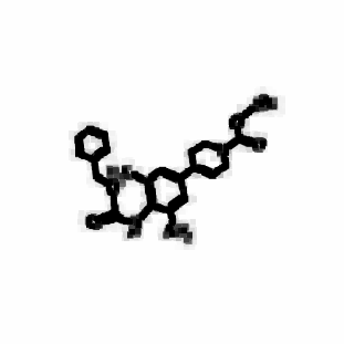 Cc1cc(C2=CCN(C(=O)OC(C)(C)C)CC2)cc(N)c1NC(=O)OCc1ccccc1